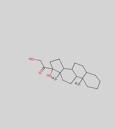 CC12CCCCC1CCC1C2CCC2(C)C1CCC2(O)C(=O)CO